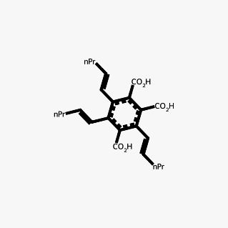 CCCC=Cc1c(C=CCCC)c(C(=O)O)c(C(=O)O)c(C=CCCC)c1C(=O)O